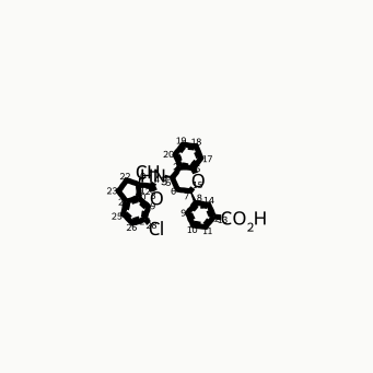 C[C@@]1(C(=O)N[C@@H]2C[C@H](c3cccc(C(=O)O)c3)Oc3ccccc32)CCc2ccc(Cl)cc21